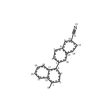 Cc1ccc(-c2ccc3cc(C#N)ccc3c2)c2ccccc12